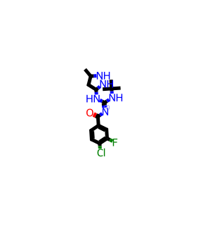 CC1CC(N/C(=N\C(=O)c2ccc(Cl)c(F)c2)NC(C)(C)C)NN1